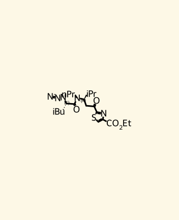 CCCN(C(=O)[C@@H](N=[N+]=[N-])C(C)CC)[C@H](CC(=O)c1nc(C(=O)OCC)cs1)C(C)C